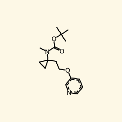 CN(C(=O)OC(C)(C)C)C1(CCOc2cccnc2)CC1